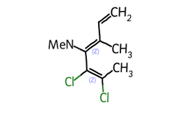 C=C/C(C)=C(NC)/C(Cl)=C(\C)Cl